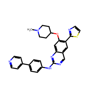 CN1CCC(Oc2cc3nc(Nc4ccc(-c5ccncc5)cc4)ncc3cc2-c2nccs2)CC1